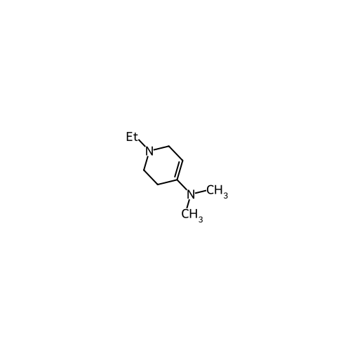 CCN1CC=C(N(C)C)CC1